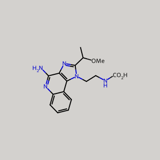 COC(C)c1nc2c(N)nc3ccccc3c2n1CCNC(=O)O